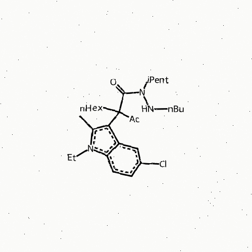 CCCCCCC(C(C)=O)(C(=O)N(NCCCC)C(C)CCC)c1c(C)n(CC)c2ccc(Cl)cc12